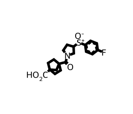 O=C(O)C12CCC(C(=O)N3CCC([S+]([O-])c4ccc(F)cc4)C3)(CC1)C2